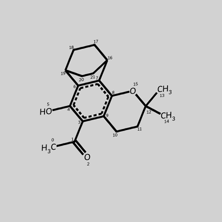 CC(=O)c1c(O)c2c(c3c1CCC(C)(C)O3)C1CCC2CC1